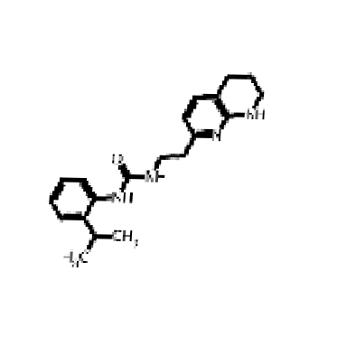 CC(C)c1ccccc1NC(=O)NCCc1ccc2c(n1)NCCC2